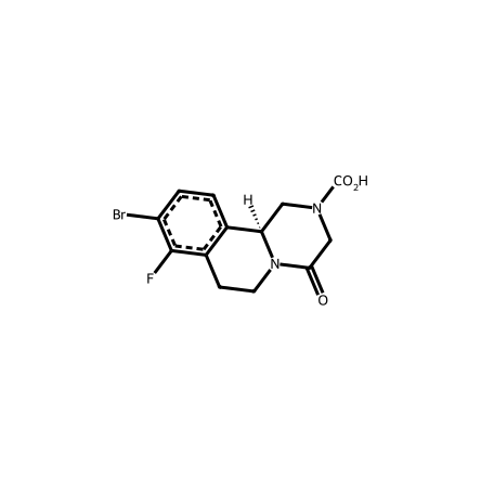 O=C(O)N1CC(=O)N2CCc3c(ccc(Br)c3F)[C@H]2C1